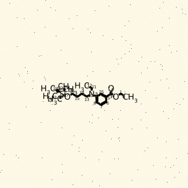 CCOC(=O)c1cccc(N(CC)CCCCO[Si](C)(C)C(C)(C)C)c1